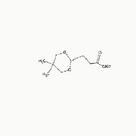 COC(=O)CCC1OCC(C)(C)CO1